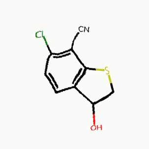 N#Cc1c(Cl)ccc2c1SCC2O